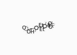 CCC(CC)(c1ccc(C#CC2(O)CCOCC2)c(C)c1)c1ccc(B2OC(C)(C)C(C)(C)O2)c(C)c1